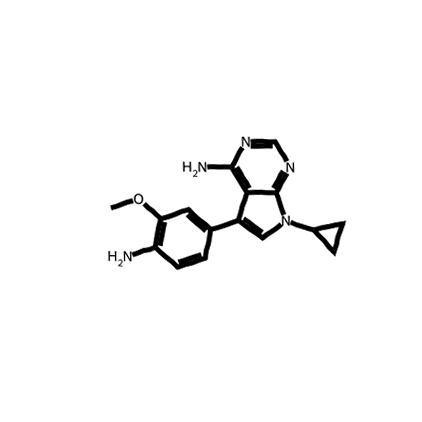 COc1cc(-c2cn(C3CC3)c3ncnc(N)c23)ccc1N